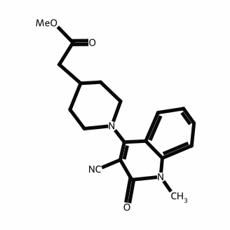 COC(=O)CC1CCN(c2c(C#N)c(=O)n(C)c3ccccc23)CC1